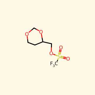 O=S(=O)(OCC1CCOCO1)C(F)(F)F